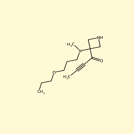 CC#CC(=O)C1(N(C)CCCOCCC)CNC1